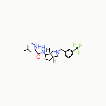 CN[C@@H](CC(C)C)C(=O)N[C@H]1CC[C@@H]2CN(Cc3cccc(C(F)(F)F)c3)C[C@@H]21